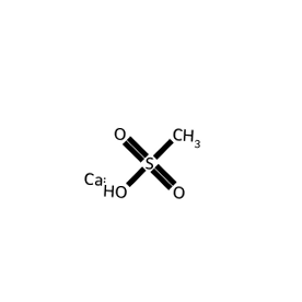 CS(=O)(=O)O.[Ca]